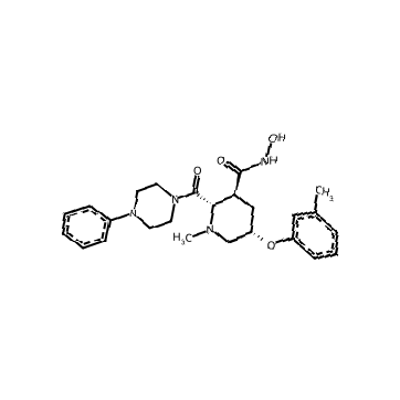 Cc1cccc(O[C@H]2C[C@H](C(=O)NO)[C@@H](C(=O)N3CCN(c4ccccc4)CC3)N(C)C2)c1